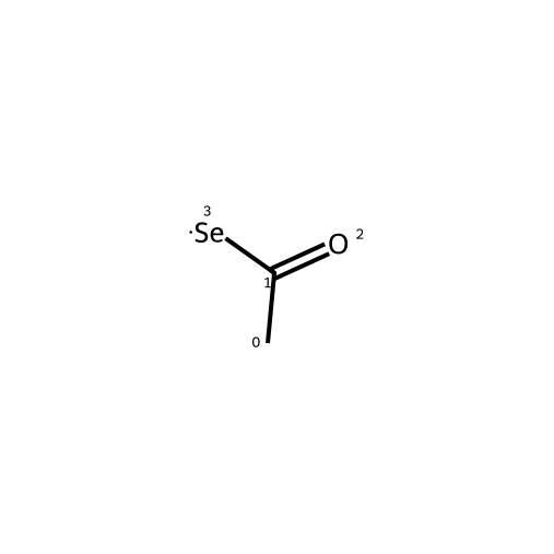 CC(=O)[Se]